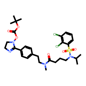 CC(C)N(CCCC(=O)N(C)CCc1ccc(C2=NCCN2OC(=O)OC(C)(C)C)cc1)S(=O)(=O)c1cccc(Cl)c1Cl